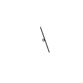 CCCCCCC=CCCCCCCCC(=O)CCCCCCCCCCCCCCC